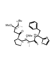 CC[C@H](C)[C@H](C)[C@@H](CC(=O)N1CCC[C@H]1[C@H](OC)[C@@H](C)C(=S)N[C@@H](Cc1ccccc1)c1nccs1)OC